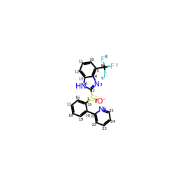 [O-][S+](c1nc2c(C(F)(F)F)cccc2[nH]1)c1ccccc1-c1ccccn1